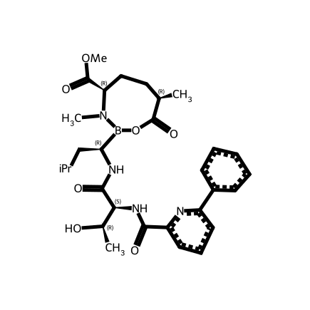 COC(=O)[C@H]1CC[C@@H](C)C(=O)OB([C@H](CC(C)C)NC(=O)[C@@H](NC(=O)c2cccc(-c3ccccc3)n2)[C@@H](C)O)N1C